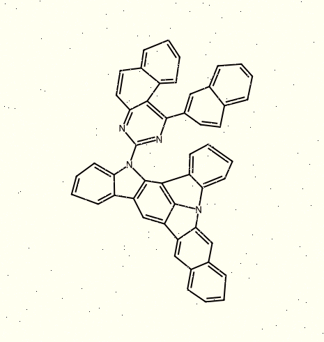 c1ccc2cc(-c3nc(-n4c5ccccc5c5cc6c7cc8ccccc8cc7n7c8ccccc8c(c54)c67)nc4ccc5ccccc5c34)ccc2c1